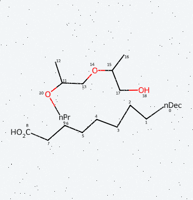 CCCCCCCCCCCCCCCCCC(=O)O.CCCOC(C)COC(C)CO